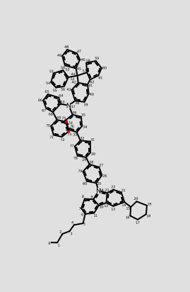 CCCCCCc1ccc2c(c1)c1cc(C3CCCCC3)ccc1n2-c1ccc(-c2ccc(-c3ccc(N(c4ccc5c(c4)C(c4ccccc4)(c4ccccc4)c4ccccc4-5)c4ccccc4-c4ccccc4)cc3)cc2)cc1